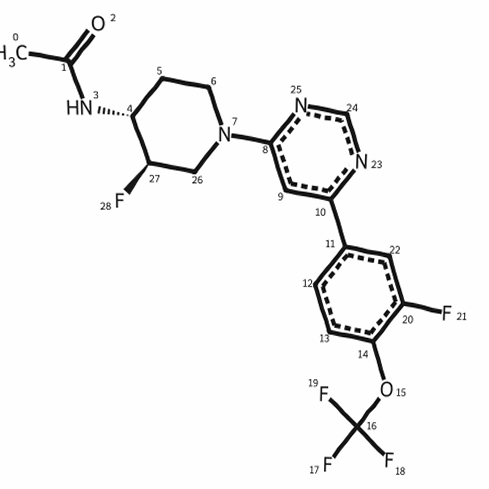 CC(=O)N[C@@H]1CCN(c2cc(-c3ccc(OC(F)(F)F)c(F)c3)ncn2)C[C@H]1F